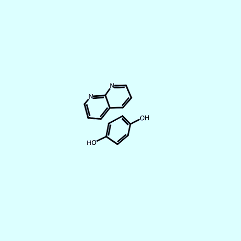 Oc1ccc(O)cc1.c1cnc2ncccc2c1